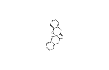 C=C1Cc2ccccc2OC12Oc1ccccc1CC2=C